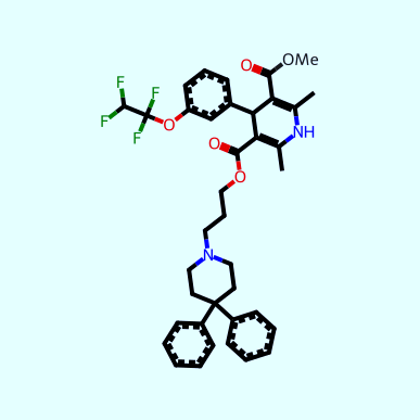 COC(=O)C1=C(C)NC(C)=C(C(=O)OCCCN2CCC(c3ccccc3)(c3ccccc3)CC2)C1c1cccc(OC(F)(F)C(F)F)c1